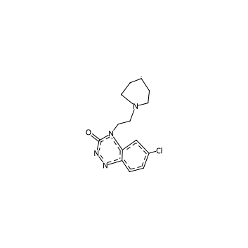 O=c1nnc2ccc(Cl)cc2n1CCN1CC[CH]CC1